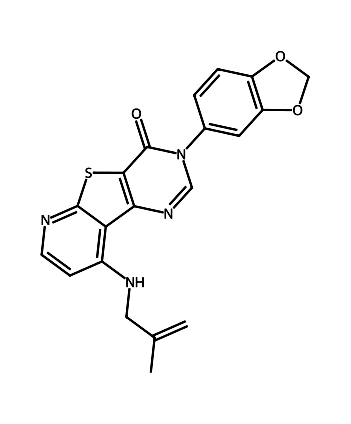 C=C(C)CNc1ccnc2sc3c(=O)n(-c4ccc5c(c4)OCO5)cnc3c12